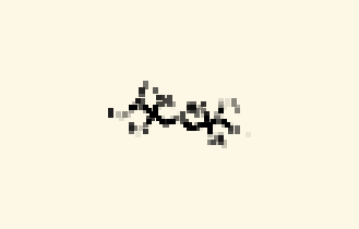 CN(C)C(C)(C)C[N]CC(C)(C)N(C)C